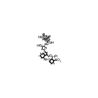 CC(C)[C@@H](OCc1cn([C@H]2CC(O)[C@@H](COP(=O)(O)OP(=O)(O)OP(=O)(O)O)O2)c2nccc(N)c12)c1ccccc1[N+](=O)[O-]